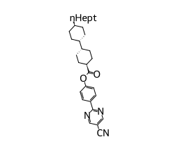 CCCCCCC[C@H]1CC[C@H]([C@H]2CC[C@H](C(=O)Oc3ccc(-c4ncc(C#N)cn4)cc3)CC2)CC1